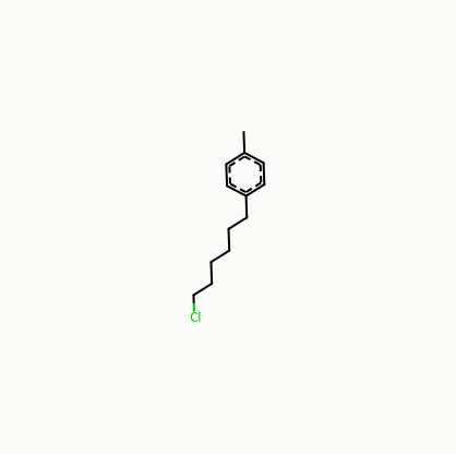 Cc1ccc(CCCCCCCl)cc1